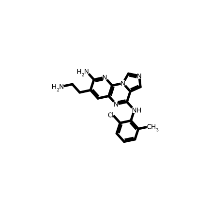 Cc1cccc(Cl)c1Nc1nc2cc(CCN)c(N)nc2n2cncc12